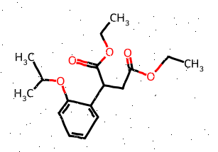 CCOC(=O)CC(C(=O)OCC)c1ccccc1OC(C)C